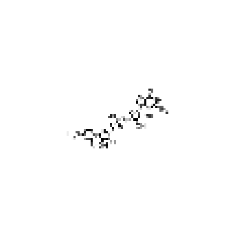 Nc1ccn([C@@H]2O[C@H](COP(=O)(O)OC[C@H]3O[C@@H](n4cnc5c(=O)[nH]c(N)nc54)[C@H](O)[C@@H]3O)[C@@H](O)[C@H]2O)c(=O)n1